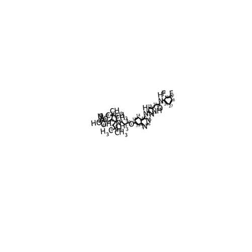 CC(C)(C)CC(C)(NCCCOc1ccc2c(Nc3cc(CC(=O)Nc4cccc(F)c4F)[nH]n3)ncnc2c1)C(COP(=O)(O)O)C(C)(C)C